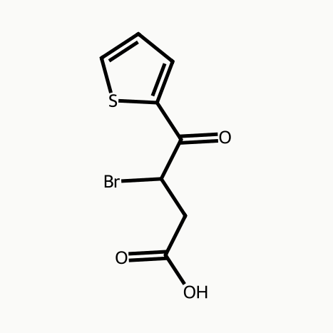 O=C(O)CC(Br)C(=O)c1cccs1